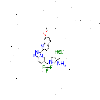 CCOc1ccc2ccc(-c3nnc4ccc([C@H](N5CC[C@](C)(N)C5)C(F)(F)F)cn34)nc2c1.Cl.Cl